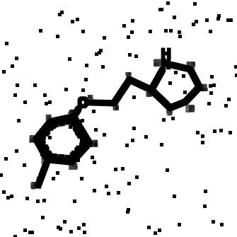 Cc1ccc(OCCC2CCCCN2)cc1